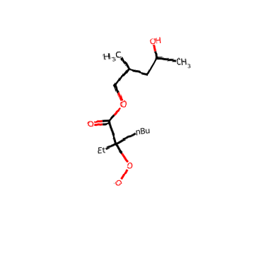 CCCCC(CC)(O[O])C(=O)OCC(C)CC(C)O